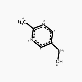 Cc1ncc(BO)cn1